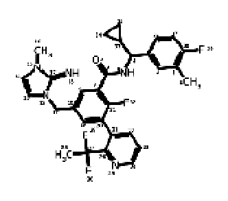 Cc1cc(C(NC(=O)c2cc(Cn3ccn(C)c3=N)cc(-c3cccnc3C(C)(F)F)c2F)C2CC2)ccc1F